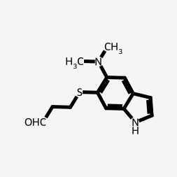 CN(C)c1cc2cc[nH]c2cc1SCCC=O